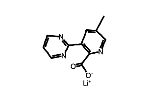 Cc1cnc(C(=O)[O-])c(-c2ncccn2)c1.[Li+]